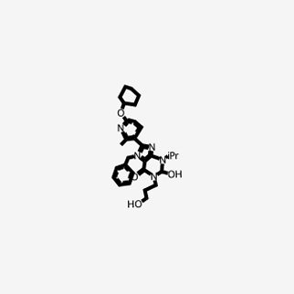 Cc1nc(OC2CCCCC2)ccc1-c1nc2c(n1Cc1ccccc1)C(=O)N(CCCO)C(O)N2C(C)C